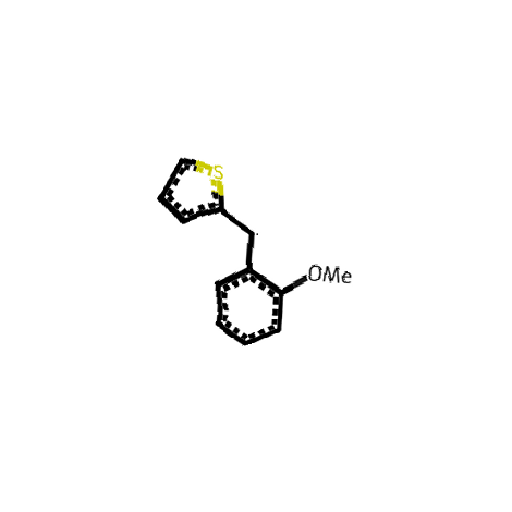 COc1ccccc1[CH]c1cccs1